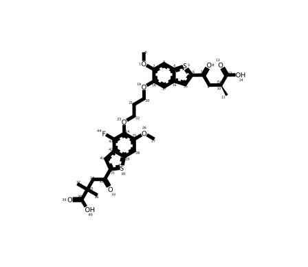 COc1cc2sc(C(=O)C[C@H](C)C(=O)O)cc2cc1OCCCOc1c(OC)cc2sc(C(=O)CC(C)(C)C(=O)O)cc2c1F